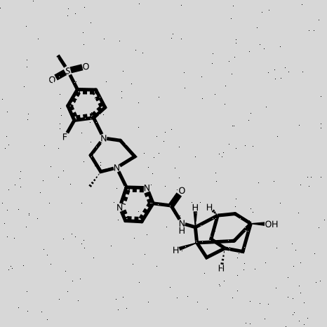 C[C@@H]1CN(c2ccc(S(C)(=O)=O)cc2F)CCN1c1nccc(C(=O)N[C@@H]2[C@@H]3C[C@@H]4C[C@H]2C[C@@](O)(C4)C3)n1